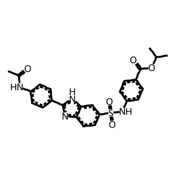 CC(=O)Nc1ccc(-c2nc3ccc(S(=O)(=O)Nc4ccc(C(=O)OC(C)C)cc4)cc3[nH]2)cc1